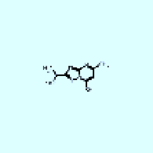 Cc1cc(S)n2nc(C(C)O)nc2n1